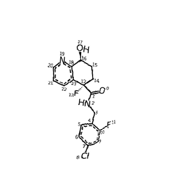 O=C(NCc1ccc(Cl)cc1F)[C@]1(F)CC[C@H](O)c2ncccc21